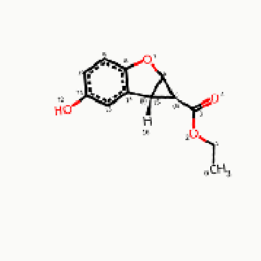 CCOC(=O)[C@@H]1C2Oc3ccc(O)cc3[C@H]21